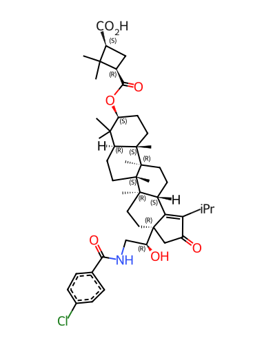 CC(C)C1=C2[C@H]3CC[C@@]4(C)[C@@](C)(CC[C@H]5C(C)(C)[C@@H](OC(=O)[C@@H]6C[C@H](C(=O)O)C6(C)C)CC[C@@]54C)[C@]3(C)CC[C@@]2([C@@H](O)CNC(=O)c2ccc(Cl)cc2)CC1=O